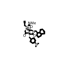 C#CCN(C(=O)NC)N1CC(=O)N2[C@@H](Cc3ccc(N(C)C)cc3)C(=O)N(Cc3cccc4ccccc34)C[C@@H]21